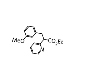 CCOC(=O)C(Cc1cccc(OC)c1)c1ccccn1